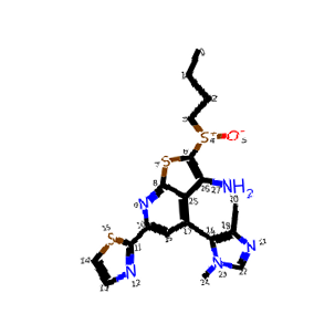 CCCC[S+]([O-])c1sc2nc(-c3nccs3)cc(-c3c(C)ncn3C)c2c1N